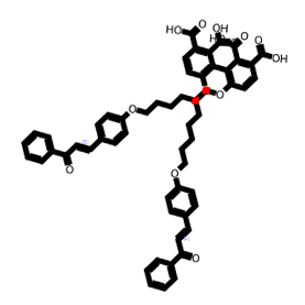 O=C(/C=C/c1ccc(OCCCCCCOc2ccc(C(=O)O)c(C(=O)O)c2-c2c(OCCCCCCOc3ccc(/C=C/C(=O)c4ccccc4)cc3)ccc(C(=O)O)c2C(=O)O)cc1)c1ccccc1